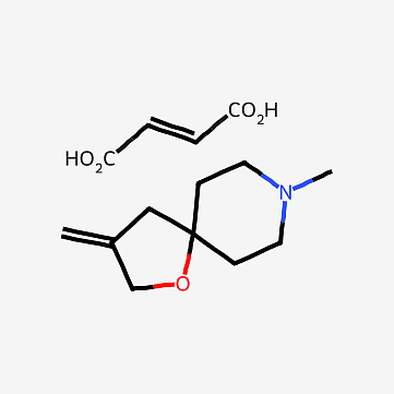 C=C1COC2(CCN(C)CC2)C1.O=C(O)C=CC(=O)O